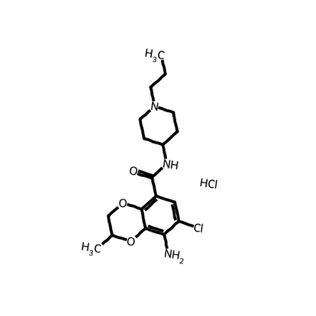 CCCN1CCC(NC(=O)c2cc(Cl)c(N)c3c2OCC(C)O3)CC1.Cl